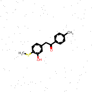 CSc1ccc(CC(=O)c2ccc(C)cc2)cc1O